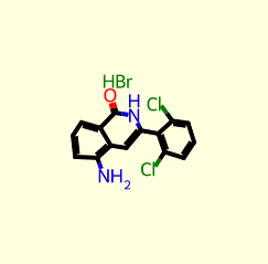 Br.Nc1cccc2c(=O)[nH]c(-c3c(Cl)cccc3Cl)cc12